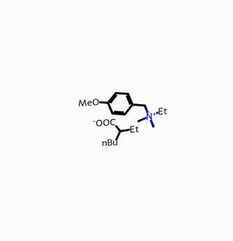 CCCCC(CC)C(=O)[O-].CC[N+](C)(C)Cc1ccc(OC)cc1